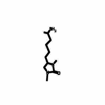 BC(C)CCCCC1CN(C)C(=O)N1C